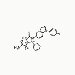 NC(=O)C1([C@H]2[C@H](F)C(=O)N(c3ccc4c(cnn4-c4ccc(F)cc4)c3)[C@H]2c2ccccc2)CC1